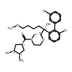 COCCCC[C@@](O)(c1cccc(Cl)c1-c1cccc(Cl)c1)[C@H]1CN(C(=O)[C@H]2C[C@@H](N)[C@@H](O)C2)CCO1